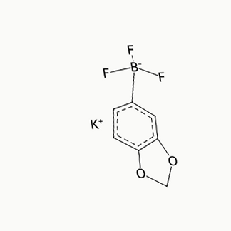 F[B-](F)(F)c1ccc2c(c1)OCO2.[K+]